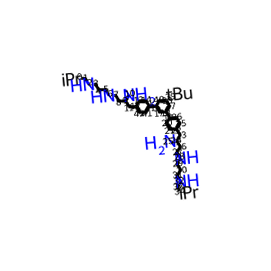 CC(C)CNCCCNCCC(N)Cc1ccc(-c2cc(-c3ccc(CC(N)CCNCCCNCC(C)C)cc3)cc(C(C)(C)C)c2)cc1